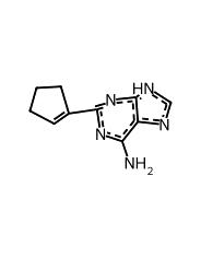 Nc1nc(C2=CCCC2)nc2[nH]cnc12